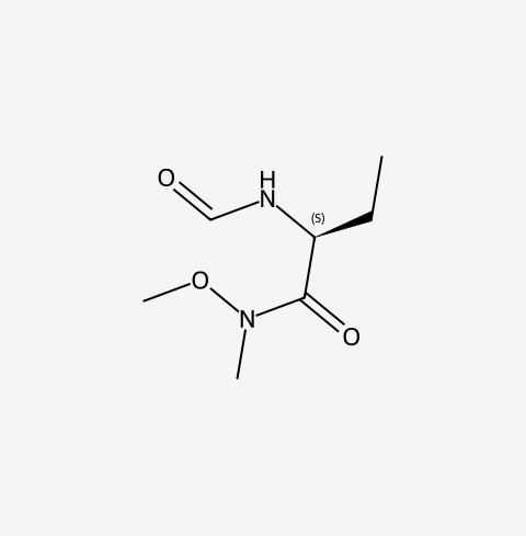 CC[C@H](NC=O)C(=O)N(C)OC